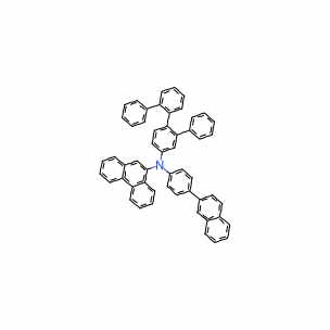 c1ccc(-c2ccccc2-c2ccc(N(c3ccc(-c4ccc5ccccc5c4)cc3)c3cc4ccccc4c4ccccc34)cc2-c2ccccc2)cc1